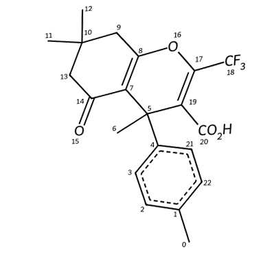 Cc1ccc(C2(C)C3=C(CC(C)(C)CC3=O)OC(C(F)(F)F)=C2C(=O)O)cc1